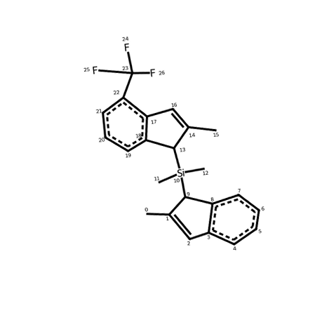 CC1=Cc2ccccc2C1[Si](C)(C)C1C(C)=Cc2c1cccc2C(F)(F)F